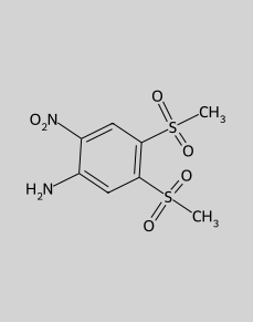 CS(=O)(=O)c1cc(N)c([N+](=O)[O-])cc1S(C)(=O)=O